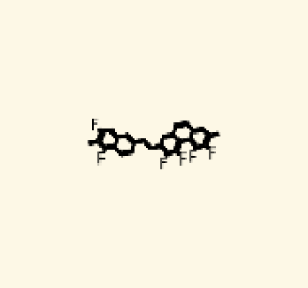 Cc1cc2ccc3cc(CCc4ccc5c(F)c(C)c(F)cc5c4)c(F)c(F)c3c2c(F)c1F